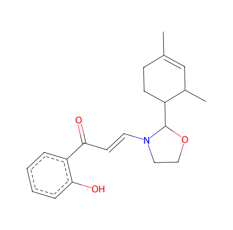 CC1=CC(C)C(C2OCCN2C=CC(=O)c2ccccc2O)CC1